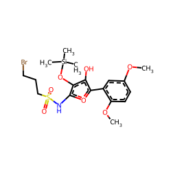 COc1ccc(OC)c(-c2oc(NS(=O)(=O)CCCBr)c(O[Si](C)(C)C)c2O)c1